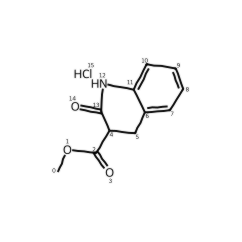 COC(=O)C1Cc2ccccc2NC1=O.Cl